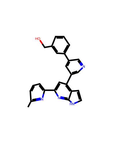 Cc1cccc(-c2cc(-c3cncc(-c4cccc(CO)c4)c3)c3cc[nH]c3n2)n1